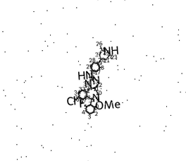 COc1cccc(F)c1C1=NCc2cnc(Nc3ccc(C4CC(C)NC(C)C4)cc3)nc2-c2ccc(Cl)cc21